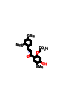 COc1ccc(/C=C/C(=O)c2cc(SC)c(O)cc2OCC(=O)O)c(OC)c1